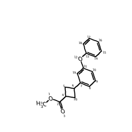 COC(=O)C1CC(c2cccc(Oc3ccccc3)c2)C1